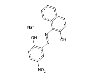 O=[N+]([O-])c1ccc(O)c(N=Nc2c(O)ccc3ccccc23)c1.[Na+]